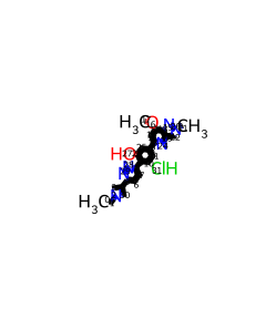 CCN1CC(c2ccc(-c3ccc(-c4cc(OC)c5nn(C)cc5n4)cc3O)nn2)C1.Cl